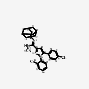 N#CNC(=NC12CC3CC(CC(C3)C1)C2)c1cc(-c2ccc(Cl)cc2)n(-c2ccccc2Cl)n1